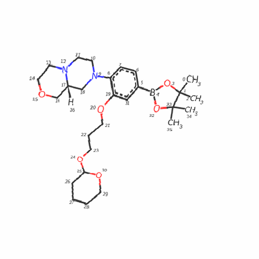 CC1(C)OB(c2ccc(N3CCN4CCOC[C@H]4C3)c(OCCCOC3CCCCO3)c2)OC1(C)C